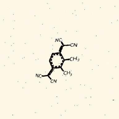 Cc1c(C)c(=C(C#N)C#N)ccc1=C(C#N)C#N